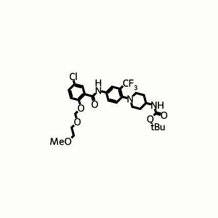 COCCOCOc1ccc(Cl)cc1C(=O)Nc1ccc(N2CCC(NC(=O)OC(C)(C)C)CC2)c(C(F)(F)F)c1